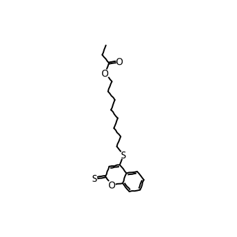 CCC(=O)OCCCCCCCCSc1cc(=S)oc2ccccc12